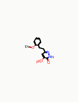 CCOc1ccccc1CCc1cc(O)c(=O)[nH]n1